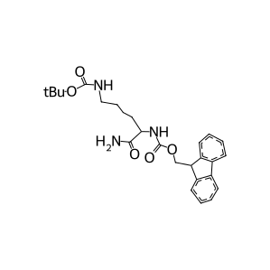 CC(C)(C)OC(=O)NCCCCC(NC(=O)OCC1c2ccccc2-c2ccccc21)C(N)=O